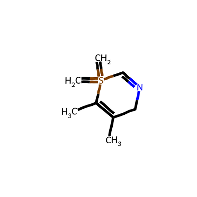 C=S1(=C)C=NCC(C)=C1C